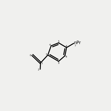 C=C(C)c1ccc(CCC)cc1